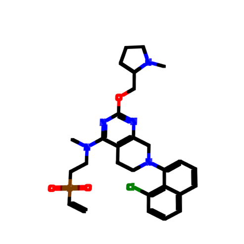 C=CS(=O)(=O)CCN(C)c1nc(OCC2CCCN2C)nc2c1CCN(c1cccc3cccc(Cl)c13)C2